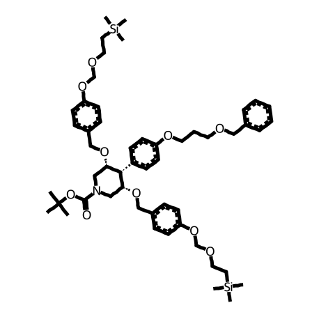 CC(C)(C)OC(=O)N1C[C@H](OCc2ccc(OCOCC[Si](C)(C)C)cc2)[C@H](c2ccc(OCCCOCc3ccccc3)cc2)[C@H](OCc2ccc(OCOCC[Si](C)(C)C)cc2)C1